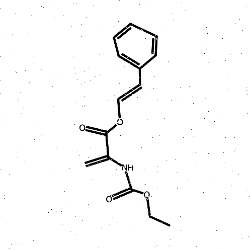 C=C(NC(=O)OCC)C(=O)OC=Cc1ccccc1